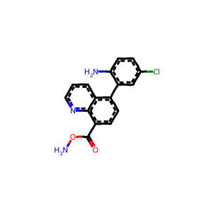 NOC(=O)c1ccc(-c2cc(Cl)ccc2N)c2cccnc12